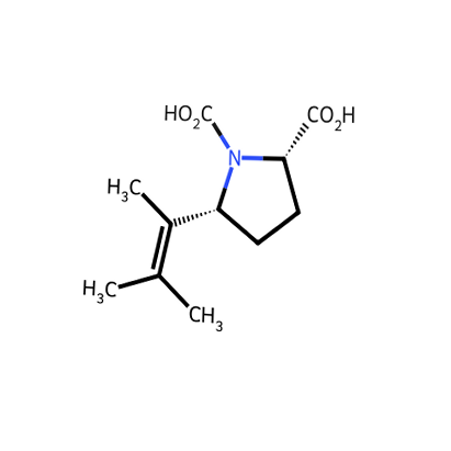 CC(C)=C(C)[C@H]1CC[C@@H](C(=O)O)N1C(=O)O